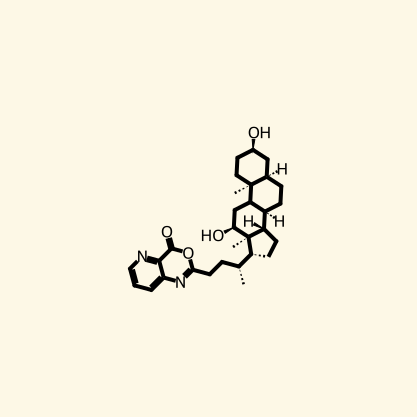 C[C@H](CCc1nc2cccnc2c(=O)o1)[C@H]1CC[C@H]2[C@@H]3CC[C@@H]4C[C@H](O)CC[C@]4(C)C3C[C@H](O)[C@]12C